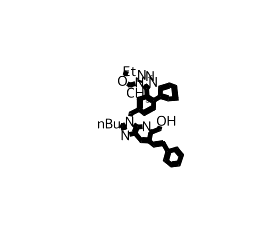 CCCCc1nc2cc(/C=C/c3ccccc3)c(CO)nc2n1Cc1ccc(-c2ccccc2)c(-c2nnnn2C(C)OCC)c1